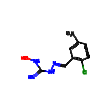 N=C(NO)NN=Cc1cc([N+](=O)[O-])ccc1Cl